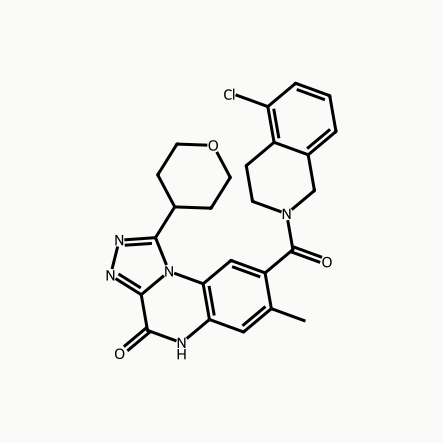 Cc1cc2[nH]c(=O)c3nnc(C4CCOCC4)n3c2cc1C(=O)N1CCc2c(Cl)cccc2C1